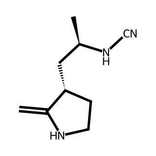 C=C1NCC[C@H]1C[C@@H](C)NC#N